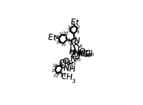 CCc1ccc(-c2nc(CN3CCN(CC(=O)Nc4c(C)cccc4C)CC3)[nH]c2-c2ccc(CC)cc2)cc1.Cl.Cl.Cl.O